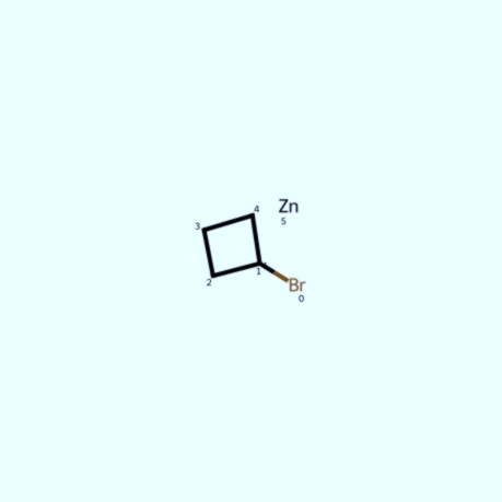 Br[C]1CCC1.[Zn]